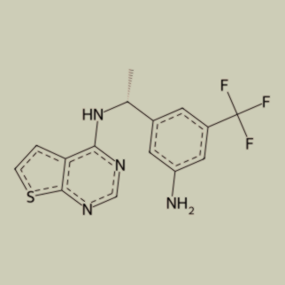 C[C@@H](Nc1ncnc2sccc12)c1cc(N)cc(C(F)(F)F)c1